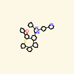 c1ccc(-c2cc(-c3ccc4c(c3)-c3cc5oc6ccccc6c5cc3Sc3ccccc3-c3ccccc3-c3ccccc3-4)nc(-c3ccc(-c4cccnc4)cc3)n2)cc1